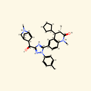 Cc1ccc(-n2nc(C(=O)C3C=C4CC3CN4C)nc2-c2ccc3c(c2)C(C2CCCC2)[C@H](C)C(=O)N3C)cc1